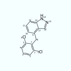 Clc1cccc(Cl)c1Cc1cccc2[nH]n[c]c12